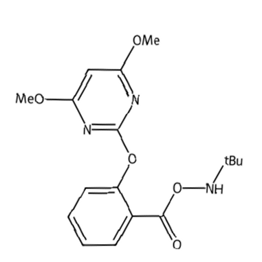 COc1cc(OC)nc(Oc2ccccc2C(=O)ONC(C)(C)C)n1